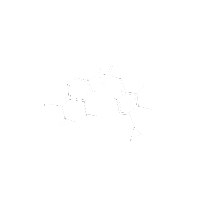 CCCN1C(=O)OC(C)c2cc(NS(=O)(=O)Cc3ccc(C4CC4)c(F)c3F)ccc21